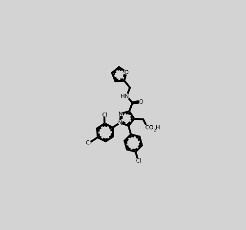 O=C(O)Cc1c(C(=O)NCc2ccco2)nn(-c2ccc(Cl)cc2Cl)c1-c1ccc(Cl)cc1